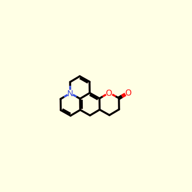 O=C1CCC2CC3=C4C(=C2O1)C=CCN4CC=C3